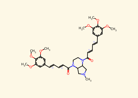 COc1cc(/C=C/C=C/C(=O)N2CCN(C(=O)/C=C/C=C/c3cc(OC)c(OC)c(OC)c3)C3CN(C)CC32)cc(OC)c1OC